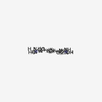 N/C(=N\O)c1ccc(OCCCN2CCN(CCCOc3ccc(/C(N)=N/O)cn3)CC2)nc1